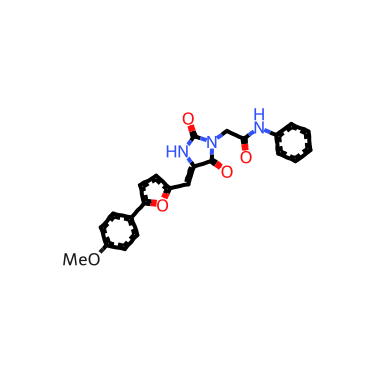 COc1ccc(-c2ccc(/C=C3\NC(=O)N(CC(=O)Nc4ccccc4)C3=O)o2)cc1